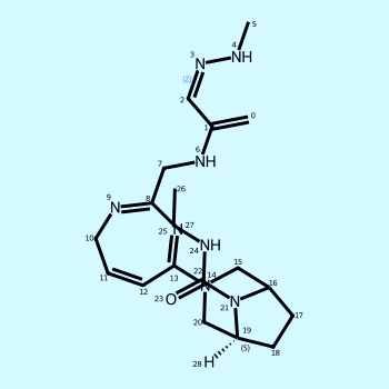 C=C(/C=N\NC)NCC1=NCC=CC(N2CC3CC[C@@H](C2)N3C(=O)NCC)=N1